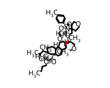 CCCCOC(=O)[C@@H]1[C@@](C)([C@H](C)C(C)C)CC[C@]2(C)[C@H]3CC[C@@H]4[C@@]5(COC[C@]4(C)[C@@H](OCC4(N(C)S(=O)(=O)c6ccc(C)cc6)CCOCC4)[C@H](OC)C5)C3=CC[C@@]12C